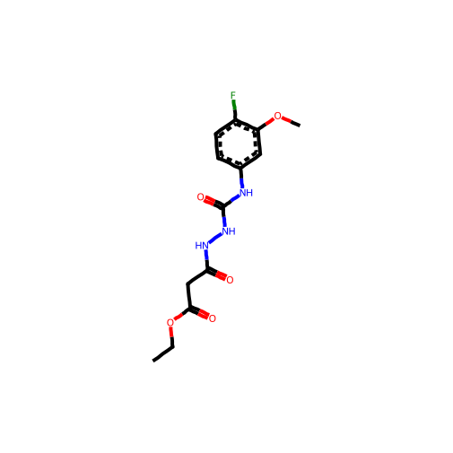 CCOC(=O)CC(=O)NNC(=O)Nc1ccc(F)c(OC)c1